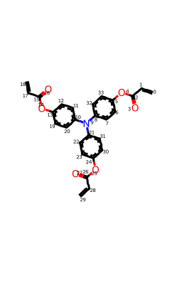 C=CC(=O)Oc1ccc(N(c2ccc(OC(=O)C=C)cc2)c2ccc(OC(=O)C=C)cc2)cc1